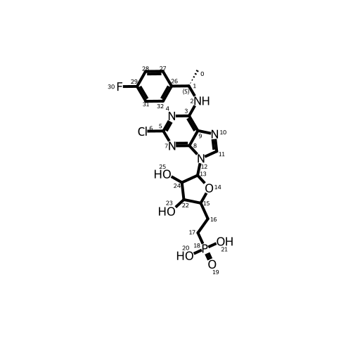 C[C@H](Nc1nc(Cl)nc2c1ncn2C1OC(CCP(=O)(O)O)C(O)C1O)c1ccc(F)cc1